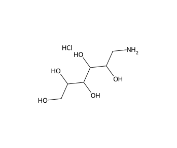 Cl.NCC(O)C(O)C(O)C(O)CO